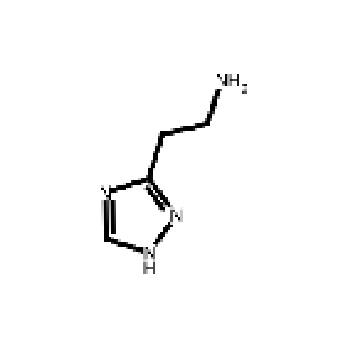 NCCc1nc[nH]n1